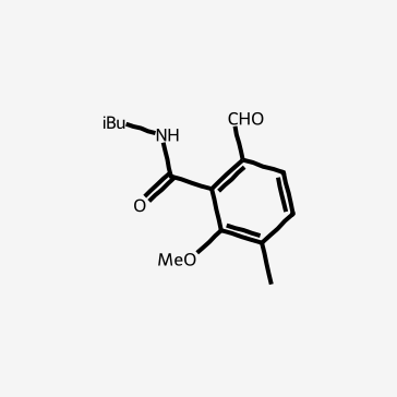 CCC(C)NC(=O)c1c(C=O)ccc(C)c1OC